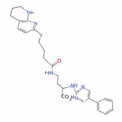 O=C(CCCCc1ccc2c(n1)NCCC2)NCCC(Nc1ncc(-c2ccccc2)cn1)C(=O)O